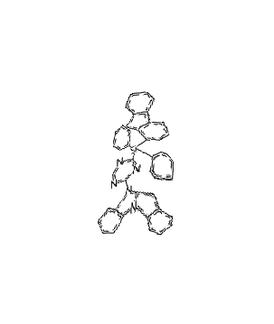 c1ccc([Si](c2ccccc2)(c2ncnc(-n3c4ccccc4n4c5ccccc5cc34)n2)c2cccc3c2sc2ccccc23)cc1